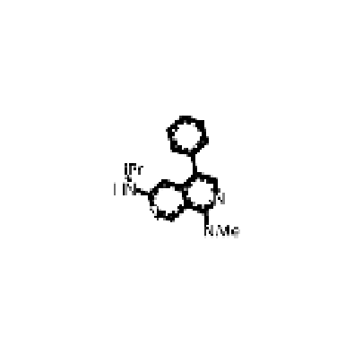 CNc1ncc(-c2ccccc2)c2cc(NC(C)C)ncc12